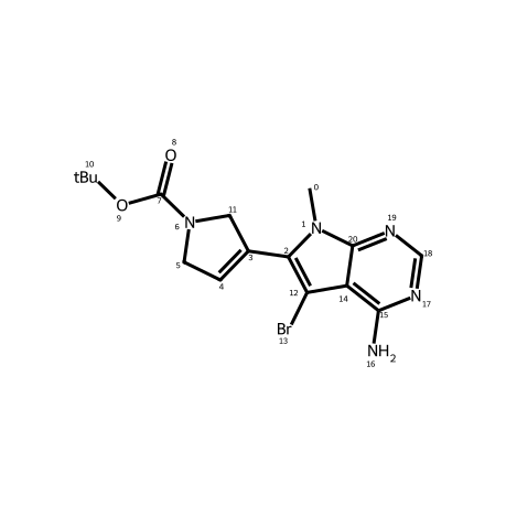 Cn1c(C2=CCN(C(=O)OC(C)(C)C)C2)c(Br)c2c(N)ncnc21